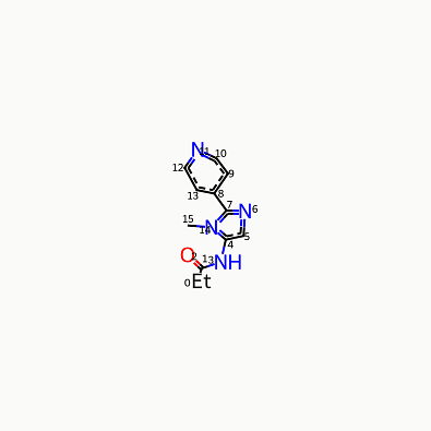 CCC(=O)Nc1cnc(-c2ccncc2)n1C